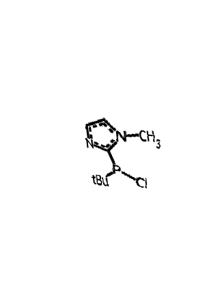 Cn1ccnc1P(Cl)C(C)(C)C